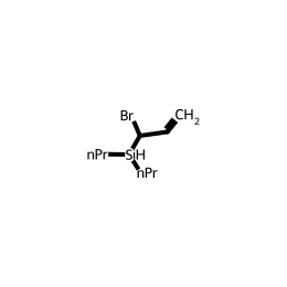 C=CC(Br)[SiH](CCC)CCC